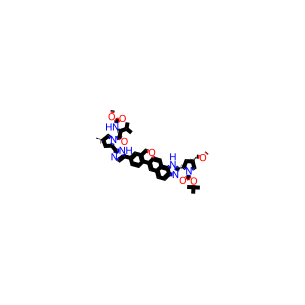 COC[C@H]1C[C@@H](c2nc3ccc4cc5c(cc4c3[nH]2)OCc2cc(-c3cnc(C4C[C@H](C)CN4C(=O)[C@@H](NC(=O)OC)C(C)C)[nH]3)ccc2-5)N(C(=O)OC(C)(C)C)C1